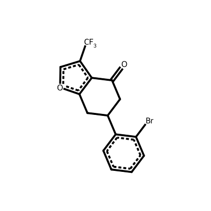 O=C1CC(c2ccccc2Br)Cc2occ(C(F)(F)F)c21